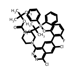 CC(C)(C)OC(=O)N1CCN(c2nnc(Cl)c3cc(Cl)c(-c4c(F)cccc4O[Si](c4ccccc4)(c4ccccc4)C(C)(C)C)cc23)CC1